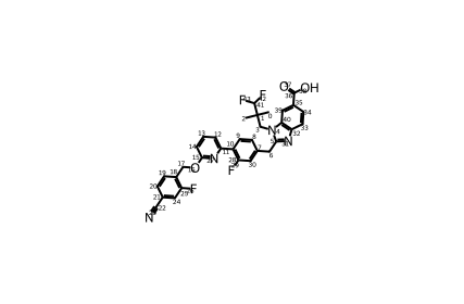 CC(C)(Cn1c(Cc2ccc(-c3cccc(OCc4ccc(C#N)cc4F)n3)c(F)c2)nc2ccc(C(=O)O)cc21)C(F)F